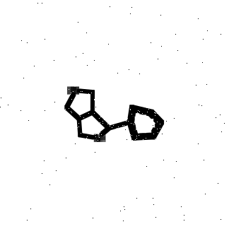 c1ccc(C2NCC3CNCC32)cc1